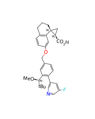 CO[C@@H](c1cc(COc2ccc3c(c2)[C@]2(CCC3)C[C@H]2C(=O)O)ccc1-c1cncc(F)c1)C(C)(C)C